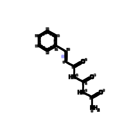 NC(=O)NC(=O)NC(=O)/C=C/c1ccccc1